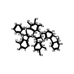 Cc1ccc2c3c4n(c5ccccc5n4c2c1C)-c1c(C)c(C)c(C)c2c1B3c1c3ccc(C)c(C)c3n3c4c5c(ccc4n-2c13)oc1ccccc15